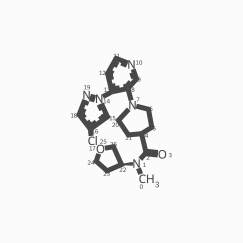 CN(C(=O)C1CCN(c2cnccc2-n2cc(Cl)cn2)CC1)[C@H]1CCOC1